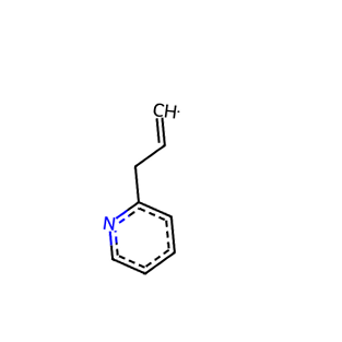 [CH]=CCc1ccccn1